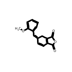 COc1ccccc1C=C1C=CC2=C(C1)C(=O)OC2=O